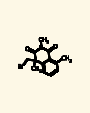 Cc1cccc2c1C(=O)N(C)C(=O)C2(C)CBr